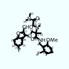 COc1cccc(F)c1CNC(=O)C(C)(COc1c(C=O)oc2ccc(F)cc12)N(C)CC(=O)N(C)C